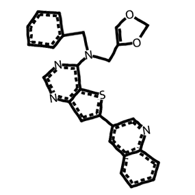 C1=C(CN(Cc2ccccc2)c2ncnc3cc(-c4cnc5ccccc5c4)sc23)OCO1